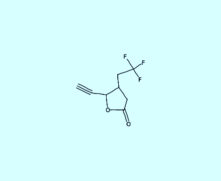 C#CC1OC(=O)CC1CC(F)(F)F